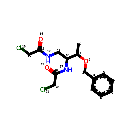 CC(OCc1ccccc1)C(CNC(=O)CCl)NC(=O)CCl